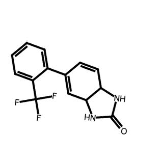 O=C1NC2C=CC(c3c[c]ccc3C(F)(F)F)=CC2N1